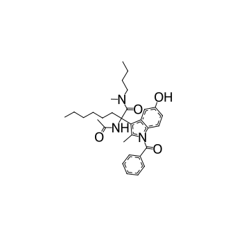 CCCCCCC(NC(C)=O)(C(=O)N(C)CCCC)c1c(C)n(C(=O)c2ccccc2)c2ccc(O)cc12